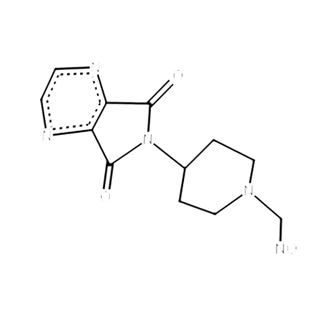 O=NCN1CCC(N2C(=O)c3nccnc3C2=O)CC1